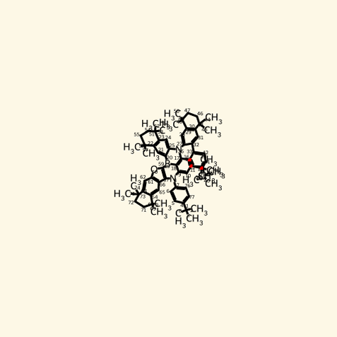 CC(C)(C)c1ccc(N2c3cc(C(C)(C)C)cc4c3B(c3cc5c(cc3N4c3cc4c(cc3-c3ccc([Si](C)(C)C)cc3)C(C)(C)CCC4(C)C)C(C)(C)CCC5(C)C)c3oc4cc5c(cc4c32)C(C)(C)CCC5(C)C)cc1